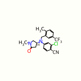 Cc1ccc(C(F)(F)F)cc1CN(c1ccc(C#N)c(Cl)c1)[C@H]1CC(=O)N(C)C1